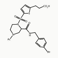 CC(=O)N1CCN(S(=O)(=O)c2ccc(CCC(=O)O)s2)C(C(=O)NCc2ccc(C(C)C)cc2)C1